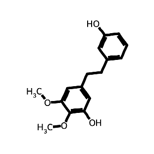 COc1cc(CCc2cccc(O)c2)cc(O)c1OC